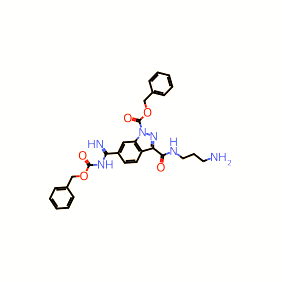 N=C(NC(=O)OCc1ccccc1)c1ccc2c(C(=O)NCCCN)nn(C(=O)OCc3ccccc3)c2c1